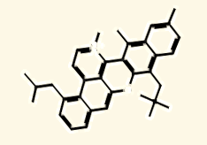 Cc1ccc2c(CC(C)(C)C)c3c(c(C)c2c1)-c1c2c(cc4cccc(CC(C)C)c4c2cc[n+]1C)O3